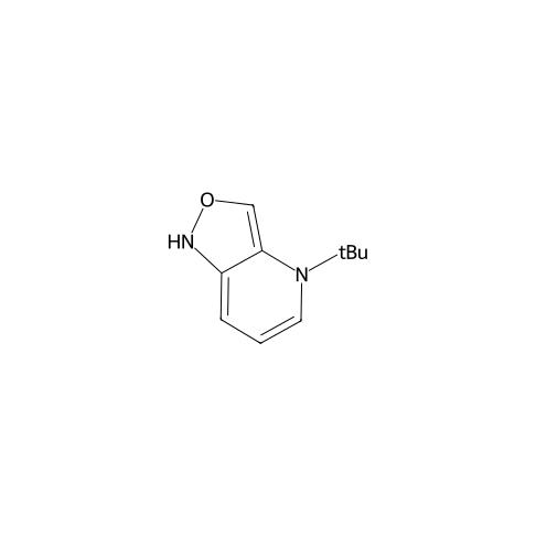 CC(C)(C)N1C=CC=C2NOC=C21